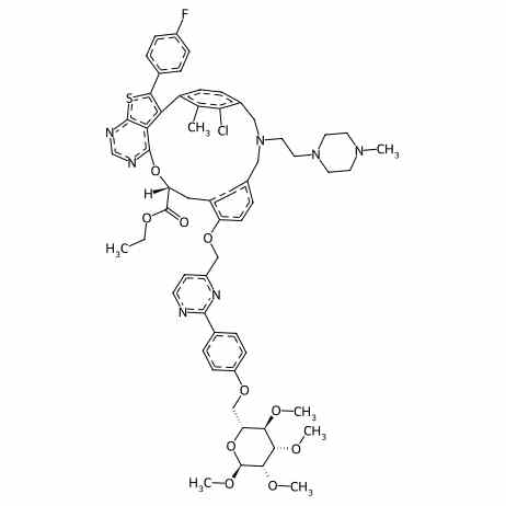 CCOC(=O)[C@H]1Cc2cc(ccc2OCc2ccnc(-c3ccc(OC[C@H]4O[C@H](OC)[C@@H](OC)[C@@H](OC)[C@@H]4OC)cc3)n2)CN(CCN2CCN(C)CC2)Cc2ccc(c(C)c2Cl)-c2c(-c3ccc(F)cc3)sc3ncnc(c23)O1